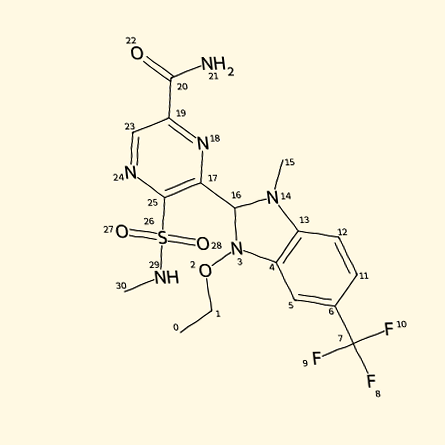 CCON1c2cc(C(F)(F)F)ccc2N(C)C1c1nc(C(N)=O)cnc1S(=O)(=O)NC